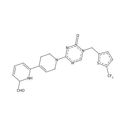 O=CC1C=CC=C(C2=CCN(c3ncn(Cc4ccc(C(F)(F)F)s4)c(=O)n3)CC2)N1